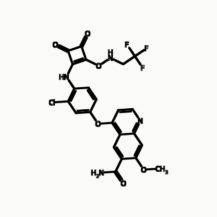 COc1cc2nccc(Oc3ccc(Nc4c(ONCC(F)(F)F)c(=O)c4=O)c(Cl)c3)c2cc1C(N)=O